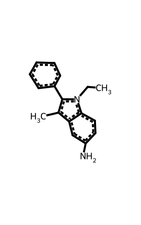 CCn1c(-c2ccccc2)c(C)c2cc(N)ccc21